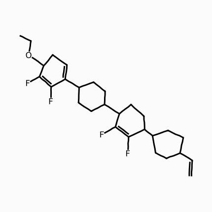 C=CC1CCC(C2CCC(C3CCC(C4=CCC(OCC)C(F)=C4F)CC3)C(F)=C2F)CC1